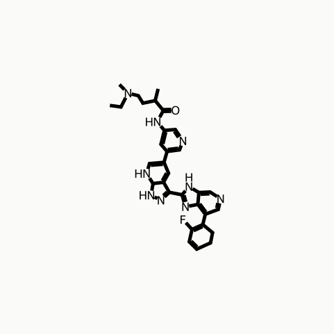 CCN(C)CCC(C)C(=O)Nc1cncc(C2=CNC3NN=C(c4nc5c(C6=C(F)C=CCC6)cncc5[nH]4)C3=C2)c1